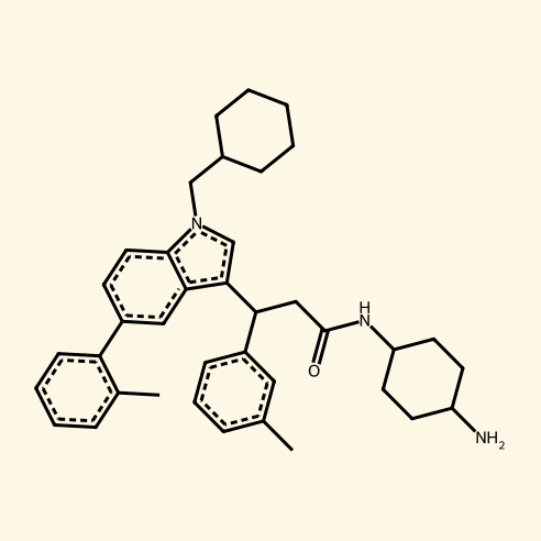 Cc1cccc(C(CC(=O)NC2CCC(N)CC2)c2cn(CC3CCCCC3)c3ccc(-c4ccccc4C)cc23)c1